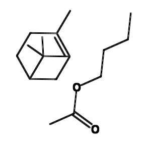 CC1=C2CC(CC1)C2(C)C.CCCCOC(C)=O